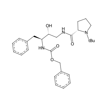 CC(C)(C)N1CCC[C@H]1C(=O)NC[C@@H](O)[C@H](Cc1ccccc1)NC(=O)OCc1ccccc1